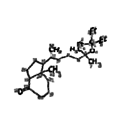 CC[Si](CC)(CC)OC(C)(C)CCC[C@@H](C)C1CCC2C(=O)CCCC21C